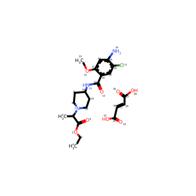 CCOC(=O)C(C)N1CCC(NC(=O)c2cc(Cl)c(N)cc2OC)CC1.O=C(O)/C=C/C(=O)O